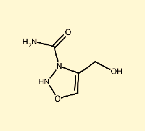 NC(=O)N1NOC=C1CO